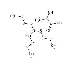 CC(O)C(=O)O.CCCCN(OCCO)OCCO